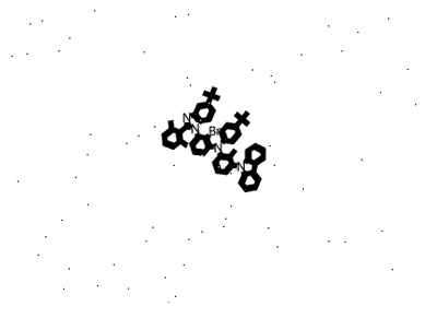 Cc1cccc(C)c1-c1nc2cc(C(C)(C)C)ccc2n1-c1cccc(N(c2ccc(C(C)(C)C)cc2)c2cccc(-n3c4ccccc4c4ccccc43)c2C)c1Br